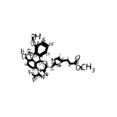 COC(=O)CCc1cnc(C[C@H]2O[C@H](c3cccc(OC)c3OC)c3cc(Cl)ccc3-n3c(C(F)F)nnc32)s1